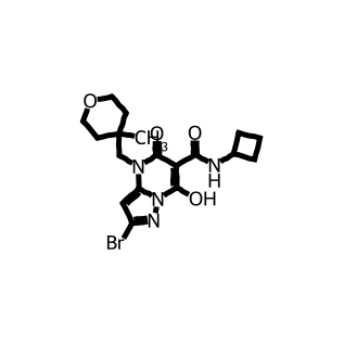 CC1(Cn2c(=O)c(C(=O)NC3CCC3)c(O)n3nc(Br)cc23)CCOCC1